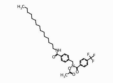 CCCCCCCCCCCCCCCNC(=O)c1ccc(CN(OC(C)=O)C(=O)c2ccc(C(F)(F)F)cc2)cc1